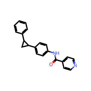 O=C(Nc1ccc(C2CC2c2ccccc2)cc1)c1ccncc1